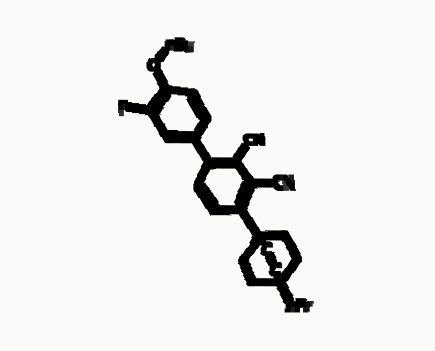 CCCCOc1ccc(-c2ccc(C34CCC(CCC)(CC3)CC4)c(C#N)c2C#N)cc1F